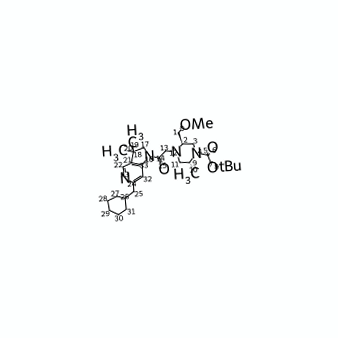 COC[C@H]1CN(C(=O)OC(C)(C)C)[C@H](C)CN1CC(=O)N1CC(C)(C)c2cnc(CC3CCCCC3)cc21